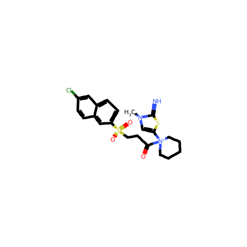 Cn1cc([N+]2(C(=O)CCS(=O)(=O)c3ccc4cc(Cl)ccc4c3)CCCCC2)sc1=N